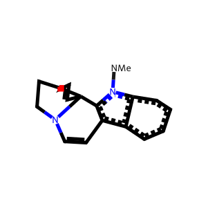 [CH2]Nn1c2c(c3ccccc31)C=CN1CCC3=CC=CC321